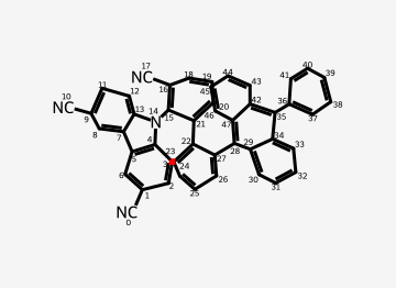 N#Cc1ccc2c(c1)c1cc(C#N)ccc1n2-c1c(C#N)cccc1-c1ccccc1-c1c2ccccc2c(-c2ccccc2)c2ccccc12